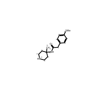 CSc1ccc(CC(=O)NC2(C)CCNCC2)cc1